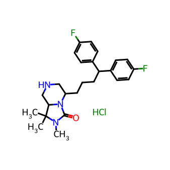 CN1C(=O)N2C(CCCC(c3ccc(F)cc3)c3ccc(F)cc3)CNCC2C1(C)C.Cl